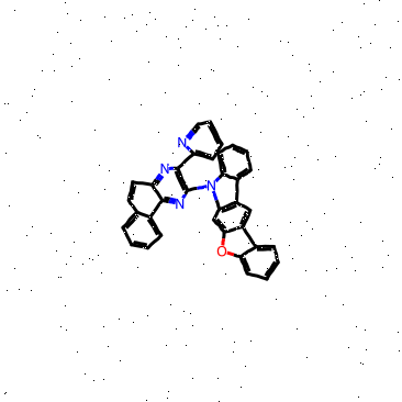 c1ccc(-c2nc3ccc4ccccc4c3nc2-n2c3ccccc3c3cc4c(cc32)oc2ccccc24)nc1